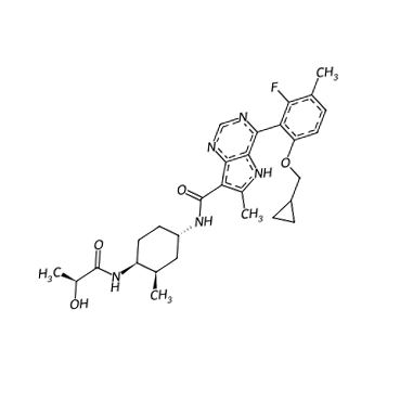 Cc1ccc(OCC2CC2)c(-c2ncnc3c(C(=O)N[C@H]4CC[C@H](NC(=O)[C@H](C)O)[C@H](C)C4)c(C)[nH]c23)c1F